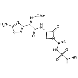 CON=C(C(=O)N[C@H]1CN(C(=O)NS(=O)(=O)NC(C)C)C1=O)c1csc(N)n1